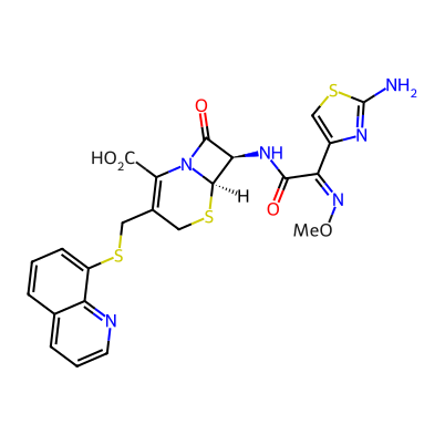 CO/N=C(\C(=O)N[C@@H]1C(=O)N2C(C(=O)O)=C(CSc3cccc4cccnc34)CS[C@H]12)c1csc(N)n1